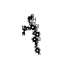 N#Cc1cncc(COc2cc(O[C@H]3CCc4c(-c5cccc(OCCCN6CCC(F)CC6)c5Cl)cccc43)c(Cl)cc2CNC[C@@H]2CCC(=O)N2)c1